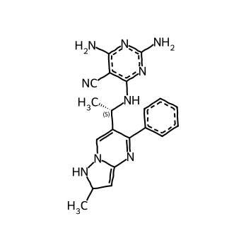 CC1C=C2N=C(c3ccccc3)C([C@H](C)Nc3nc(N)nc(N)c3C#N)=CN2N1